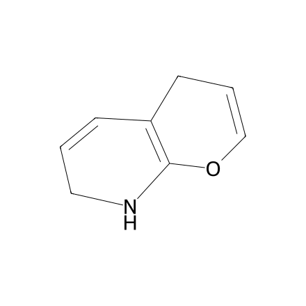 C1=CC2=C(NC1)OC=CC2